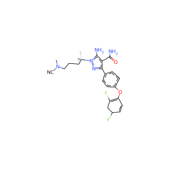 C[C@@H](CCCN(C)C#N)n1nc(-c2ccc(OC3=C(F)CC(F)C=C3)cc2)c(C(N)=O)c1N